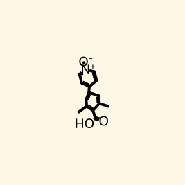 Cc1cc(-c2cc[n+]([O-])cc2)cc(C)c1C(=O)O